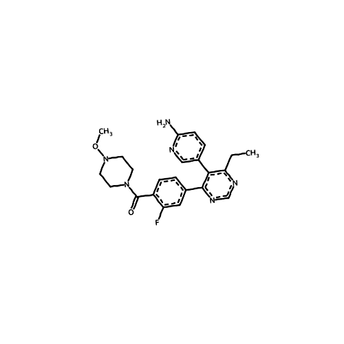 CCc1ncnc(-c2ccc(C(=O)N3CCN(OC)CC3)c(F)c2)c1-c1ccc(N)nc1